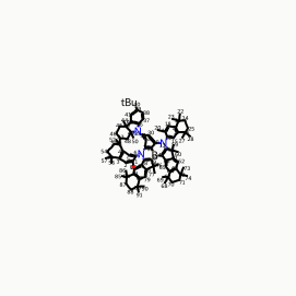 Cc1cc2c3cc1N1C4=C(B5C6=C(N(c7cc8c(cc7C)C(C)(C)CCC8(C)C)c7cc(cc1c75)N1c5ccc(C(C)(C)C)cc5C5(C)CCC(CC15C)C3(C)CCC2(C)C)C(C)(C)c1cc2c(cc16)C(C)(C)CCC2(C)C)C(C)(C)c1cc2c(cc14)C(C)(C)CCC2(C)C